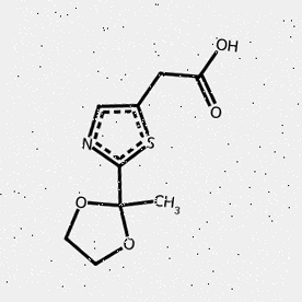 CC1(c2ncc(CC(=O)O)s2)OCCO1